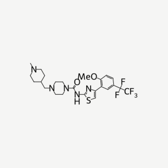 COc1ccc(C(F)(F)C(F)(F)F)cc1-c1csc(NC(=O)N2CCN(CC3CCN(C)CC3)CC2)n1